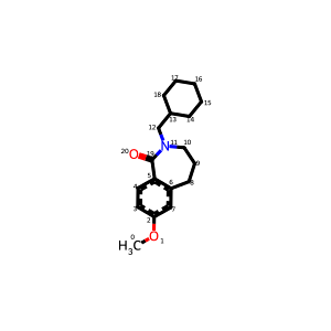 COc1ccc2c(c1)CCCN(CC1CCCCC1)C2=O